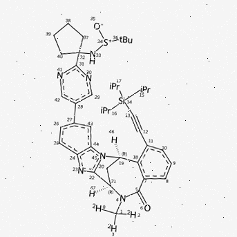 [2H]C([2H])([2H])N1C(=O)c2cccc(C#C[Si](C(C)C)(C(C)C)C(C)C)c2[C@H]2C[C@@H]1c1nc3ccc(-c4cnc(C5(N[S+]([O-])C(C)(C)C)CCCC5)nc4)cc3n12